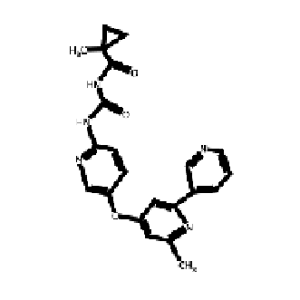 Cc1cc(Oc2ccc(NC(=O)NC(=O)C3(C)CC3)nc2)cc(-c2cccnc2)n1